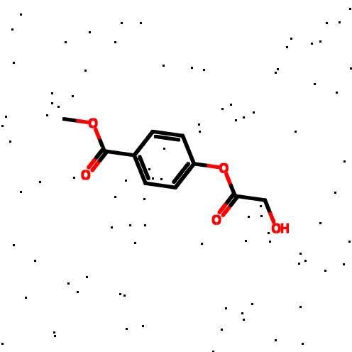 COC(=O)c1ccc(OC(=O)CO)cc1